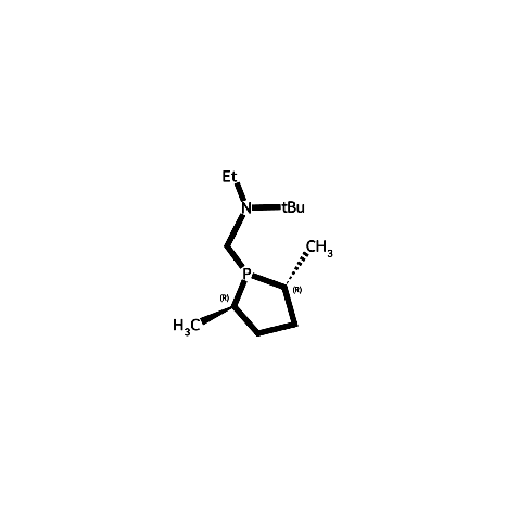 CCN(CP1[C@H](C)CC[C@H]1C)C(C)(C)C